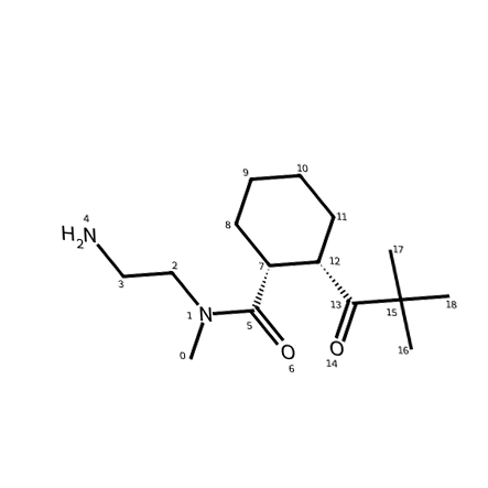 CN(CCN)C(=O)[C@@H]1CCCC[C@@H]1C(=O)C(C)(C)C